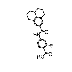 O=C(Nc1ccc(C(=O)O)c(F)c1)c1cc2c3c(c1)CCCC3CCC2